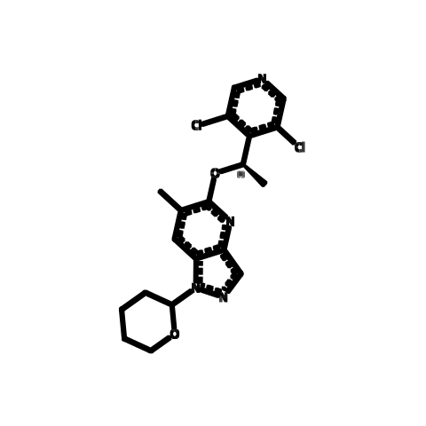 Cc1cc2c(cnn2C2CCCCO2)nc1O[C@H](C)c1c(Cl)cncc1Cl